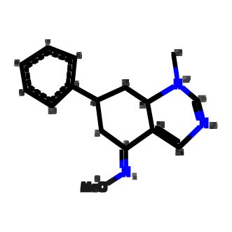 CON=C1CC(c2ccccc2)CC2C1=CN=CN2C